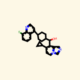 OC(c1c(C2CC2)ccn2cncc12)C1CCC(c2ccnc3c(F)cccc23)CC1